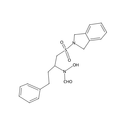 O=CN(O)C(CCc1ccccc1)CS(=O)(=O)N1Cc2ccccc2C1